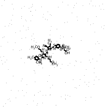 CCc1c(C#N)c(N=Nc2c(NCCCOC)nc(Nc3c(C)cc(C)cc3C)nc2NCCCOC)nn1-c1nc2cc(S(=O)(=O)N(C)CC(=O)O)ccc2s1